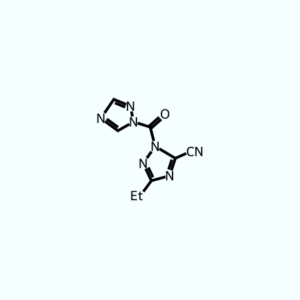 CCc1nc(C#N)n(C(=O)n2cncn2)n1